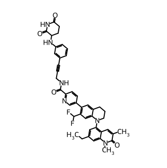 CCc1cc(N2CCCc3cc(-c4ccc(C(=O)NCC#Cc5cccc(NC6CCC(=O)NC6=O)c5)nc4)c(C(F)F)cc32)c2cc(C)c(=O)n(C)c2c1